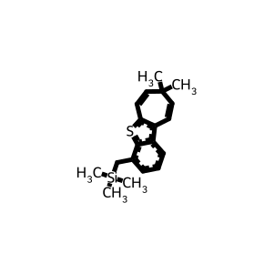 CC1(C)C=Cc2sc3c(C[Si](C)(C)C)cccc3c2C=C1